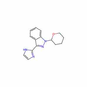 c1ccc2c(c1)c(-c1ncc[nH]1)nn2C1CCCCO1